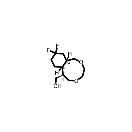 OC[C@@H]1COCCOC[C@H]2CC(F)(F)CC[C@@H]12